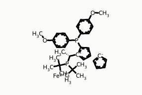 COc1ccc(P(c2ccc(OC)cc2)c2ccc[c-]2[C@@H](C)P(C(C)(C)C)C(C)(C)C)cc1.[Fe+2].c1cc[cH-]c1